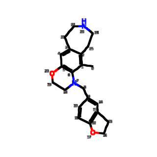 Cc1c2c(cc3c1N(Cc1ccc4c(c1)CCO4)CCO3)CCNCC2